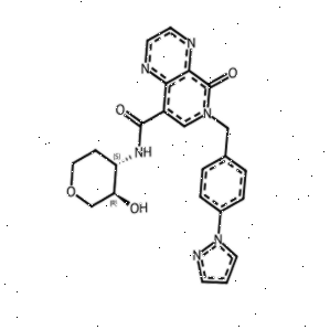 O=C(N[C@H]1CCOC[C@@H]1O)c1cn(Cc2ccc(-n3cccn3)cc2)c(=O)c2nccnc12